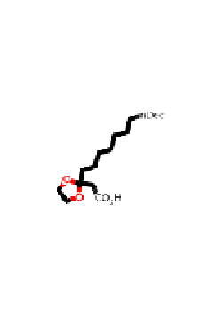 CCCCCCCCCCCCCCCCCC1(CC(=O)O)OCCO1